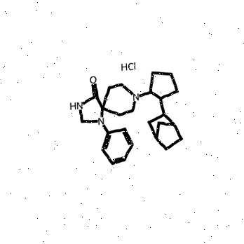 Cl.O=C1NCN(c2ccccc2)C12CCN(C1CCCC1C1CC3CCC1C3)CC2